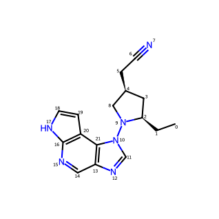 CC[C@@H]1C[C@H](CC#N)CN1n1cnc2cnc3[nH]ccc3c21